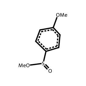 COc1ccc(S(=O)OC)cc1